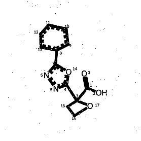 O=C(O)C1(c2nnc(-c3ccccc3)o2)CCO1